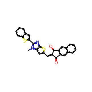 Cn1c(-c2cc3ccccc3s2)nc2sc(C=C3C(=O)c4cc5ccccc5cc4C3=O)cc21